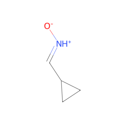 [O-][NH+]=CC1CC1